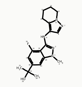 Cn1nc(Nc2cnn3c2CCCC3)c2c(F)cc(C(C)(C)O)cc21